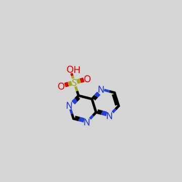 O=S(=O)(O)c1ncnc2nccnc12